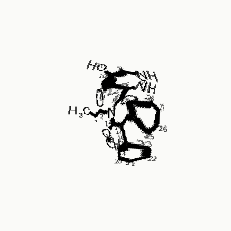 CCCN(C(=O)C1NNC=C(O)C1=O)C(OC)C(c1ccccc1)c1ccccc1